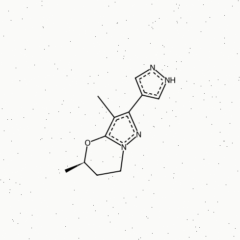 Cc1c(-c2cn[nH]c2)nn2c1O[C@H](C)CC2